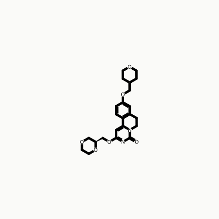 O=c1nc(OC[C@@H]2COCCO2)cc2n1CCc1cc(OCC3CCOCC3)ccc1-2